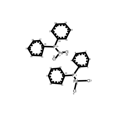 [Cl][Pd]([Cl])[P](c1ccccc1)c1ccccc1.[Cl][Pd]([Cl])[P](c1ccccc1)c1ccccc1